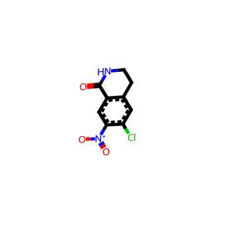 O=C1NCCc2cc(Cl)c([N+](=O)[O-])cc21